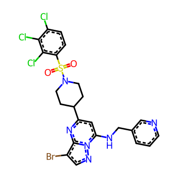 O=S(=O)(c1ccc(Cl)c(Cl)c1Cl)N1CCC(c2cc(NCc3cccnc3)n3ncc(Br)c3n2)CC1